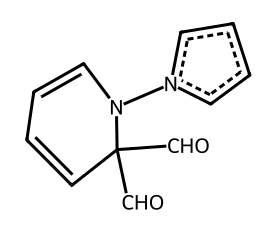 O=CC1(C=O)C=CC=CN1n1cccc1